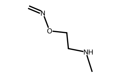 C=NOCCNC